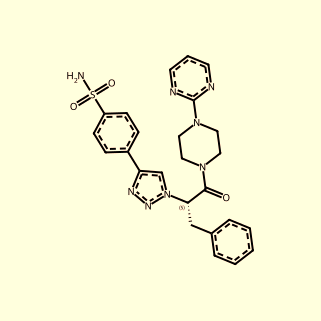 NS(=O)(=O)c1ccc(-c2cn([C@@H](Cc3ccccc3)C(=O)N3CCN(c4ncccn4)CC3)nn2)cc1